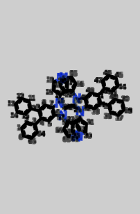 c1ccc(-c2cc3c(cc2-c2ccccc2)N(c2ccncc2)C(=C2N(c4ccncc4)c4cc(-c5ccccc5)c(-c5ccccc5)cc4N2c2ccncc2)N3c2ccncc2)cc1